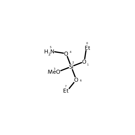 CCO[Si](OC)(ON)OCC